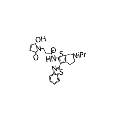 CC(C)N1CCc2c(sc(NC(=O)CCN3C(=O)C=CC3O)c2-c2nc3ccccc3s2)C1